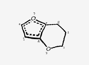 [CH]1CCOc2ccoc21